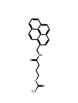 NC(=O)OCCCC(=O)NCc1ccc2ccc3cccc4ccc1c2c34